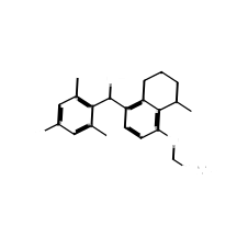 COCOc1ccc(C(O)c2c(C)cc(Br)cc2C)c2c1C(C)CCC2